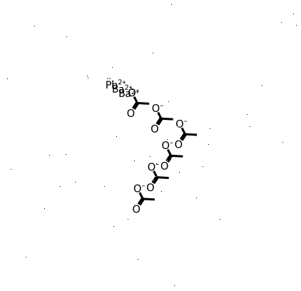 CC(=O)[O-].CC(=O)[O-].CC(=O)[O-].CC(=O)[O-].CC(=O)[O-].CC(=O)[O-].[Ba+2].[Ba+2].[Pb+2]